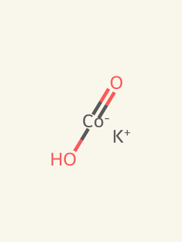 [K+].[O]=[Co-][OH]